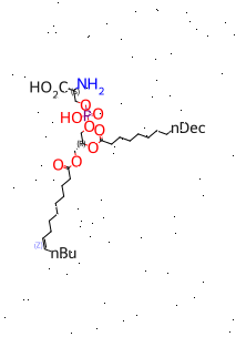 CCCC/C=C\CCCCCCCC(=O)OC[C@H](COP(=O)(O)OC[C@H](N)C(=O)O)OC(=O)CCCCCCCCCCCCCCCCC